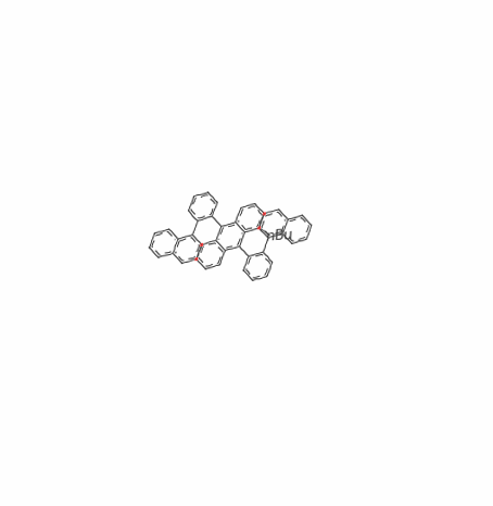 CCCCc1cccc2c(-c3ccccc3-c3cccc4ccccc34)c3ccccc3c(-c3ccccc3-c3cccc4ccccc34)c12